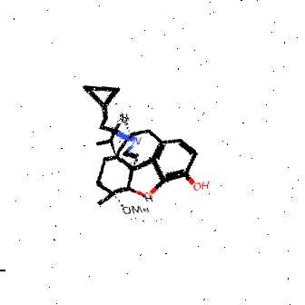 CO[C@]1(C)CC[C@]2(C(C)C(C)=O)[C@H]3Cc4ccc(O)c5c4[C@@]2(CCN3CC2CC2)[C@H]1O5